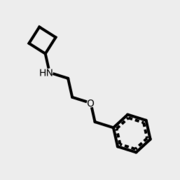 c1ccc(COCCNC2CCC2)cc1